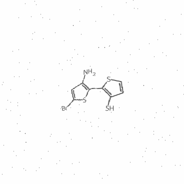 Nc1cc(Br)sc1-c1sccc1S